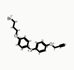 C#CCOc1ccc(Sc2ccc(OCCCBr)cc2)cc1